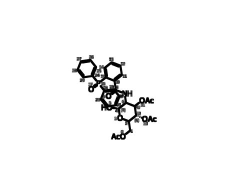 CC(=O)OCC1O[C@@H](O)C(NC(=O)c2ccccc2P(=O)(c2ccccc2)c2ccccc2)C(OC(C)=O)[C@@H]1OC(C)=O